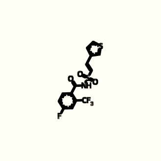 O=C(NS(=O)(=O)C=Cc1ccsc1)c1ccc(F)cc1C(F)(F)F